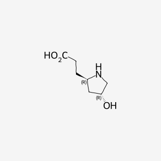 O=C(O)CC[C@@H]1C[C@@H](O)CN1